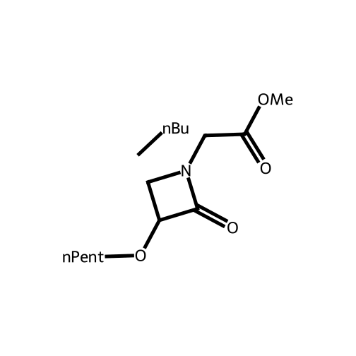 CCCCC.CCCCCOC1CN(CC(=O)OC)C1=O